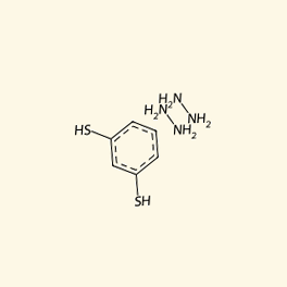 NN.NN.Sc1cccc(S)c1